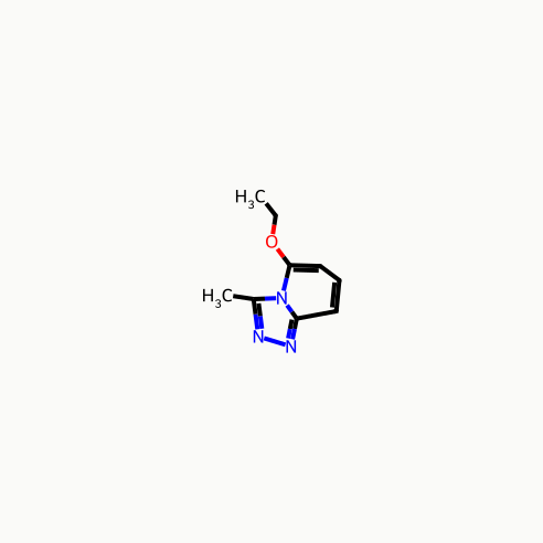 CCOc1cccc2nnc(C)n12